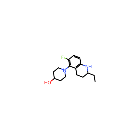 CCC1CCc2c(ccc(F)c2N2CCC(O)CC2)N1